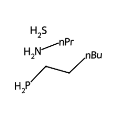 CCCCCCP.CCCN.S